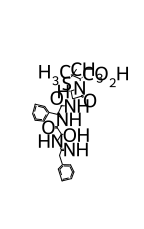 CC1(C)S[C@@H]2C(NC(=O)C(NC(=O)C(O)NC(=N)Cc3ccccc3)c3ccccc3)C(=O)N2[C@H]1C(=O)O